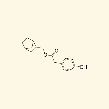 O=C(Cc1ccc(O)cc1)OCC1CC2CCC1C2